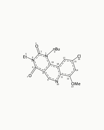 CCCCn1c(=O)n(CC)c(=O)c2cnc3c(OC)cc(Cl)cc3c21